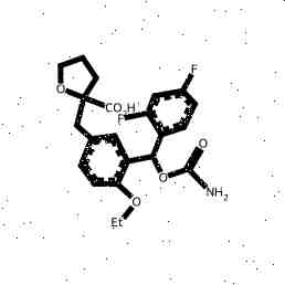 CCOc1ccc(CC2(C(=O)O)CCCO2)cc1C(OC(N)=O)c1ccc(F)cc1F